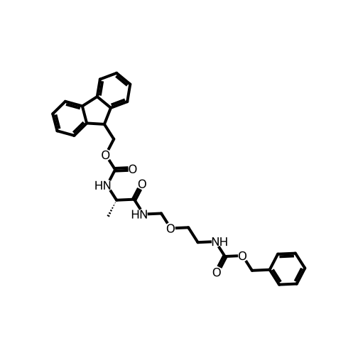 C[C@H](NC(=O)OCC1c2ccccc2-c2ccccc21)C(=O)NCOCCNC(=O)OCc1ccccc1